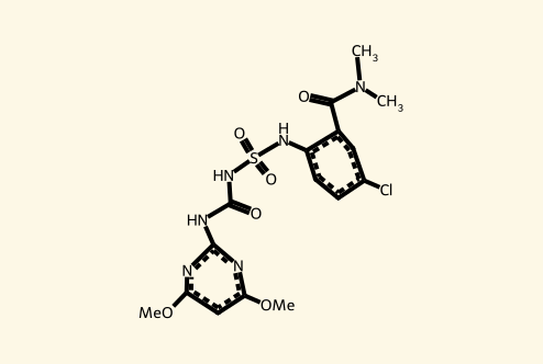 COc1cc(OC)nc(NC(=O)NS(=O)(=O)Nc2ccc(Cl)cc2C(=O)N(C)C)n1